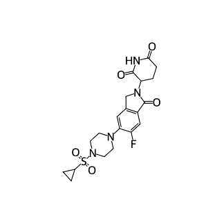 O=C1CCC(N2Cc3cc(N4CCN(S(=O)(=O)C5CC5)CC4)c(F)cc3C2=O)C(=O)N1